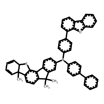 CC1(C)c2cc(N(c3ccc(-c4ccccc4)cc3)c3ccc(-c4cccc5c4oc4ccccc45)cc3)ccc2-c2c1ccc1c2SC2C=CC=CC12C